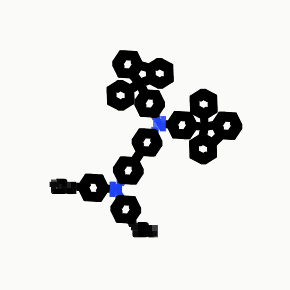 CC(C)(C)c1ccc(N(c2ccc(-c3ccc(N(c4ccc(C5(c6ccccc6)c6ccccc6-c6ccccc65)cc4)c4ccc(C5(c6ccccc6)c6ccccc6-c6ccccc65)cc4)cc3)cc2)c2ccc(C(C)(C)C)cc2)cc1